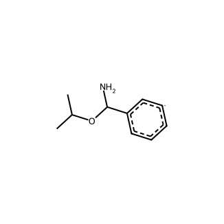 CC(C)OC(N)c1c[c]ccc1